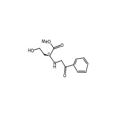 COC(=O)[C@H](CCO)NCC(=O)c1ccccc1